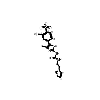 Cc1nc(NC(=O)NCCn2ccnc2)sc1-c1ccc(S(C)(=O)=O)c(F)c1